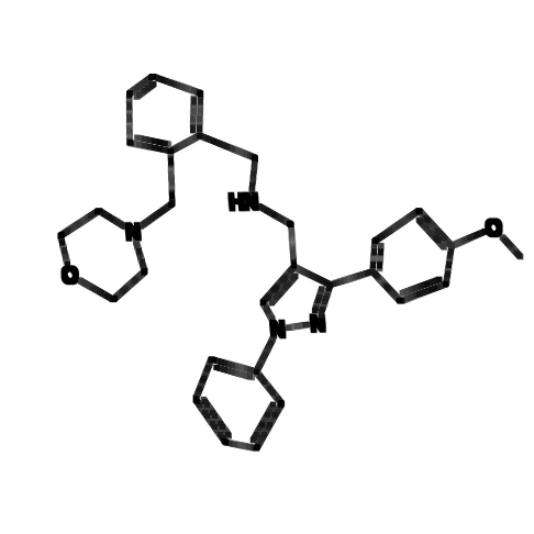 COc1ccc(-c2nn(-c3ccccc3)cc2CNCc2ccccc2CN2CCOCC2)cc1